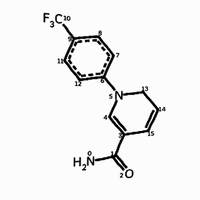 NC(=O)C1=CN(c2ccc(C(F)(F)F)cc2)CC=C1